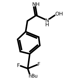 CCCCC(F)(F)c1ccc(CC(=N)NO)cc1